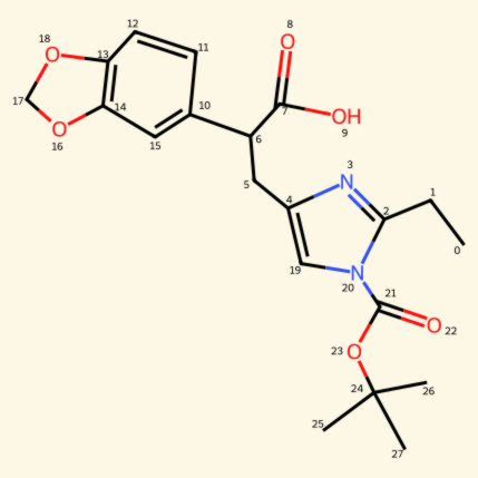 CCc1nc(CC(C(=O)O)c2ccc3c(c2)OCO3)cn1C(=O)OC(C)(C)C